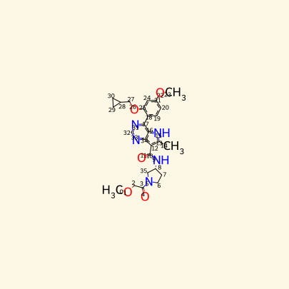 COCC(=O)N1CC[C@@H](NC(=O)c2c(C)[nH]c3c(-c4ccc(OC)cc4OCC4CC4)ncnc23)C1